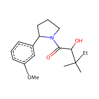 CCC(C)(C)C(O)C(=O)N1CCCC1c1cccc(OC)c1